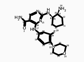 NC(=O)c1cnc(N[C@@H]2CCCC[C@@H]2N)nc1Nc1ccc(N2CCOCC2)c(F)c1